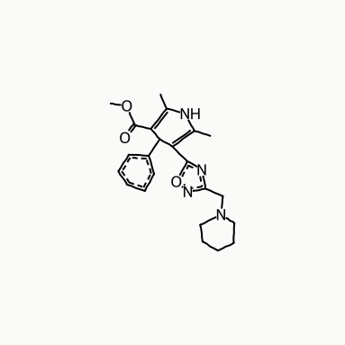 COC(=O)C1=C(C)NC(C)=C(c2nc(CN3CCCCC3)no2)C1c1ccccc1